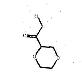 O=C(CCl)C1COCCO1